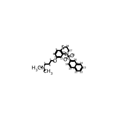 CN(C)CCCOc1ccc2c(c1)N(S(=O)(=O)c1ccc3ccccc3c1)CCS2